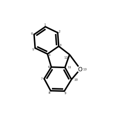 c1ccc2c(c1)-c1cccc3c1C2O3